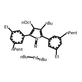 CCCCCCCCC1=C(c2cc(CC)cc(CCCCC)c2)[N+](=[N-])C(c2cc(CC)cc(CCCCC)c2)=C1CCCC.CCC[CH2][Pd][CH2]CCC